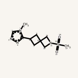 Cn1cnnc1C1CC2(C1)CN(S(C)(=O)=O)C2